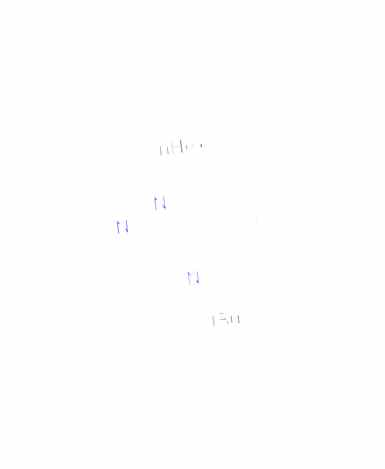 CCCCCCN1N=CN(C(C)(C)C)C1F